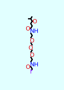 CC(C)C(=O)CCC(=O)NCCCOCCOCCOCCCNC(=O)CI